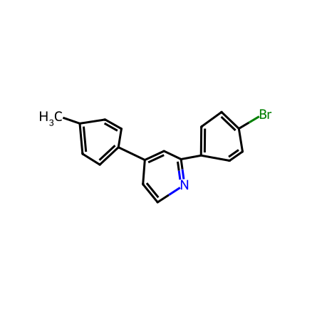 Cc1ccc(-c2ccnc(-c3ccc(Br)cc3)c2)cc1